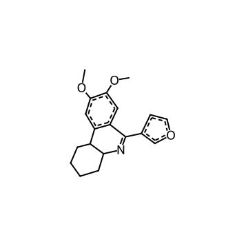 COc1cc2c(cc1OC)C1CCCCC1N=C2c1ccoc1